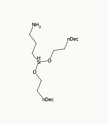 CCCCCCCCCCCCO[SiH](CCCN)OCCCCCCCCCCCC